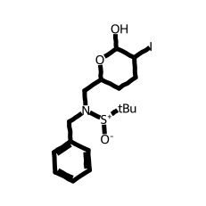 CC(C)(C)[S+]([O-])N(Cc1ccccc1)CC1CCC(I)C(O)O1